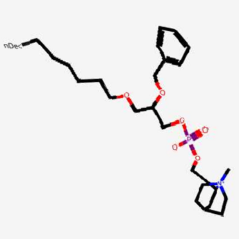 CCCCCCCCCCCCCCCCOCC(COP(=O)([O-])OCC1CC2CC[N+]1(C)CC2)OCc1ccccc1